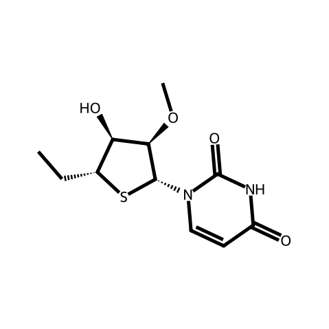 CC[C@H]1S[C@@H](n2ccc(=O)[nH]c2=O)[C@H](OC)[C@@H]1O